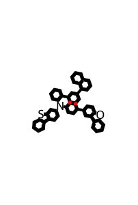 c1cc(-c2ccccc2N(c2ccc(-c3ccc4oc5ccccc5c4c3)cc2)c2ccc3c(c2)sc2ccccc23)cc(-c2cccc3ccccc23)c1